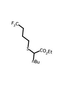 CCCCC(SCCCC(F)(F)F)C(=O)OCC